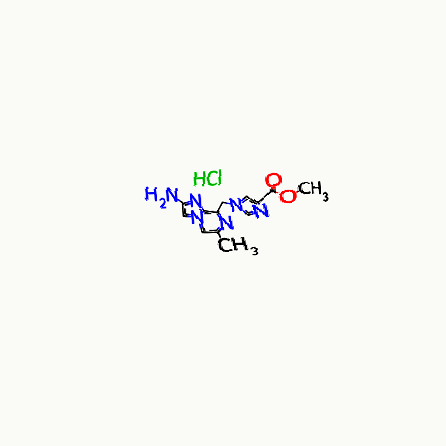 COC(=O)c1cn(Cc2nc(C)cn3cc(N)nc23)cn1.Cl